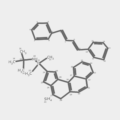 C(C=Cc1ccccc1)=Cc1ccccc1.CC(C)(C)[NH][Ti]([CH3])([CH3])[C]1=CC2=CCc3ccc4ccccc4c3C2=C1.[SiH4]